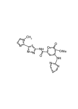 COc1c(Nc2ncccn2)cc(C(=O)Nc2nnc(-c3nccn3C)s2)oc1=O